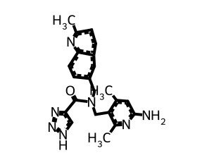 Cc1ccc2cc(CN(Cc3c(C)cc(N)nc3C)C(=O)c3c[nH]nn3)ccc2n1